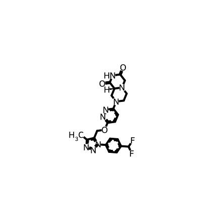 Cc1nnn(-c2ccc(C(F)F)cc2)c1COc1ccc(N2CCN3CC(=O)NC(=O)[C@H]3C2)nn1